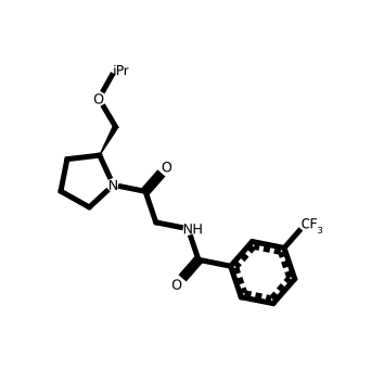 CC(C)OC[C@@H]1CCCN1C(=O)CNC(=O)c1cccc(C(F)(F)F)c1